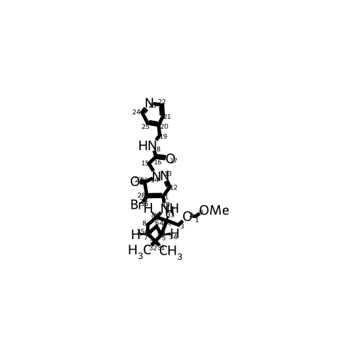 COCOC[C@@H]1[C@H]2C[C@@H](C[C@H]1Nc1cnn(CC(=O)NCc3ccncc3)c(=O)c1Br)C2(C)C